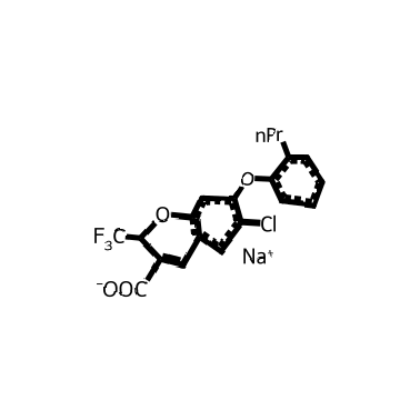 CCCc1ccccc1Oc1cc2c(cc1Cl)C=C(C(=O)[O-])C(C(F)(F)F)O2.[Na+]